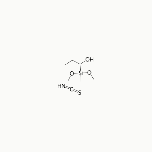 CCC(O)[Si](C)(OC)OC.N=C=S